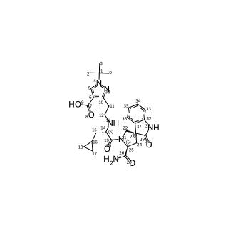 CC(C)(C)n1cc(C(=O)O)c(CCN[C@@H](CC2CC2)C(=O)N2C[C@]3(C[C@H]2C(N)=O)C(=O)Nc2ccccc23)n1